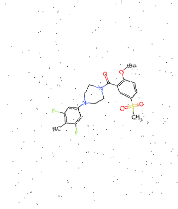 CC(C)(C)Oc1ccc(S(C)(=O)=O)cc1C(=O)N1CCN(c2cc(F)c(C#N)c(F)c2)CC1